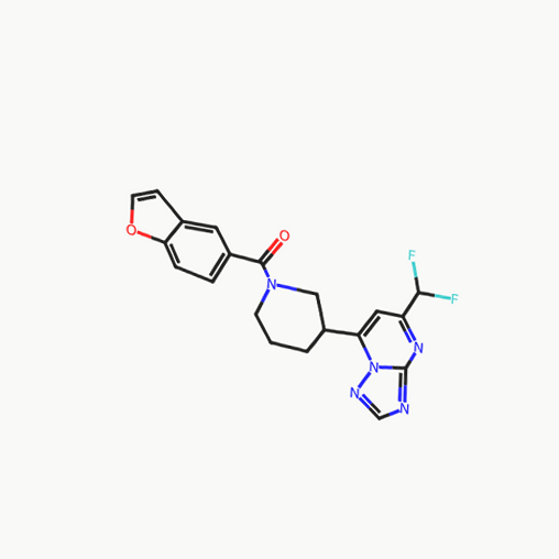 O=C(c1ccc2occc2c1)N1CCCC(c2cc(C(F)F)nc3ncnn23)C1